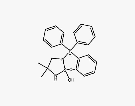 CC1(C)CN([PH](c2ccccc2)(c2ccccc2)c2ccccc2)S(O)(O)N1